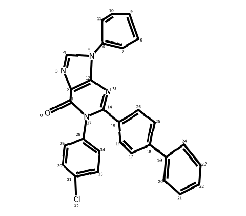 O=c1c2ncn(-c3ccccc3)c2nc(-c2ccc(-c3ccccc3)cc2)n1-c1ccc(Cl)cc1